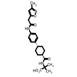 Cc1cc(CC(=O)Nc2ccc([C@H]3CC[C@H](C(=O)NC(C)(C)C(=O)O)CC3)cc2)on1